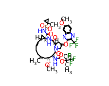 COC[C@@H]1C[C@H](C)CCC=C[C@@H]2C[C@@]2(C(=O)NS(=O)(=O)C2(C)CC2)NC(=O)[C@@H]2C[C@@H](Oc3nc4cc(OC)ccc4nc3C(F)(F)F)CN2C(=O)[C@H]1NC(=O)OC(C)(C)C(F)(F)F